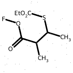 CCOC(=O)SC(C)C(C)C(=O)OF